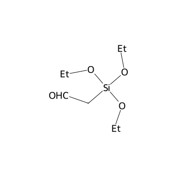 CCO[Si](CC=O)(OCC)OCC